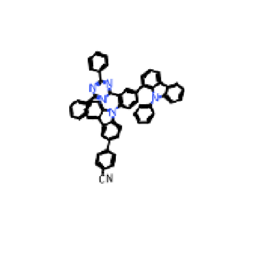 N#Cc1ccc(-c2ccc3c(c2)c2ccccc2n3-c2ccc(-c3cccc4c5ccccc5n(-c5ccccc5)c34)cc2-c2nc(-c3ccccc3)nc(-c3ccccc3)n2)cc1